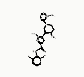 CC1=C(c2cc(C(=O)Nc3c(F)cccc3F)nn2C)CN(c2nnnn2C)CC1